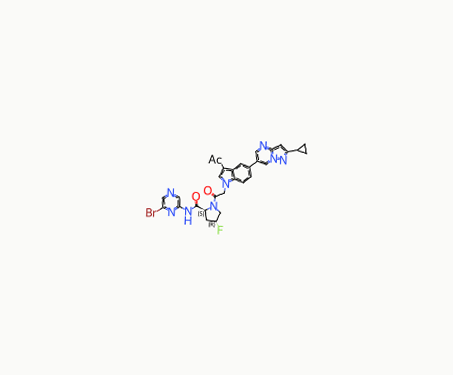 CC(=O)c1cn(CC(=O)N2C[C@H](F)C[C@H]2C(=O)Nc2cncc(Br)n2)c2ccc(-c3cnc4cc(C5CC5)nn4c3)cc12